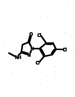 CNC1=NN(c2c(Cl)cc(Cl)cc2Cl)C(=O)C1